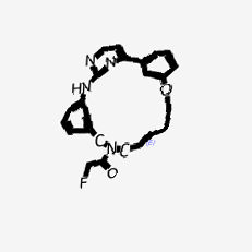 O=C(CF)N1C/C=C/CCOc2cccc(c2)-c2ccnc(n2)Nc2cccc(c2)C1